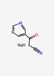 N#CCC(=O)c1cncnc1.[NaH]